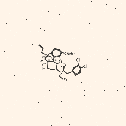 C=CCN1CC[C@]23c4c5ccc(OC)c4OC2C(N(CC(C)C)C(=O)Cc2ccc(Cl)c(Cl)c2)CC[C@@]3(O)[C@H]1C5